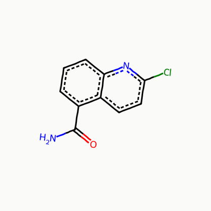 NC(=O)c1cccc2nc(Cl)ccc12